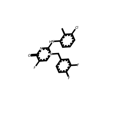 Cc1c(Cl)cccc1Nc1nc(=O)c(F)cn1Cc1ccc(F)c(F)c1